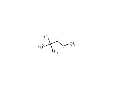 [CH2]C([CH2])(C)CCC